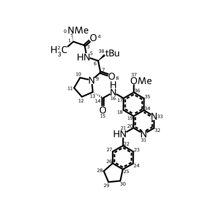 CN[C@@H](C)C(=O)N[C@H](C(=O)N1CCC[C@H]1C(=O)Nc1cc2c(Nc3ccc4c(c3)CCC4)ncnc2cc1OC)C(C)(C)C